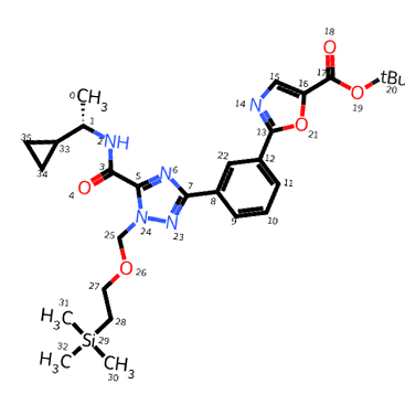 C[C@H](NC(=O)c1nc(-c2cccc(-c3ncc(C(=O)OC(C)(C)C)o3)c2)nn1COCC[Si](C)(C)C)C1CC1